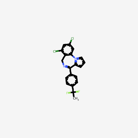 CC(F)(F)c1ccc(C2=NCc3c(Cl)cc(Cl)cc3-n3cccc32)cc1